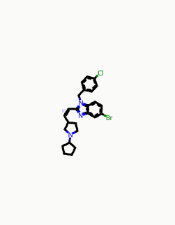 Clc1ccc(Cn2c(/C=C\C3CCN(C4CCCC4)C3)nc3cc(Br)ccc32)cc1